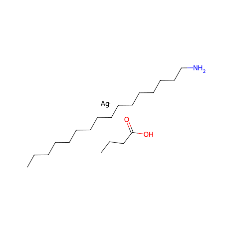 CCCC(=O)O.CCCCCCCCCCCCCCCCN.[Ag]